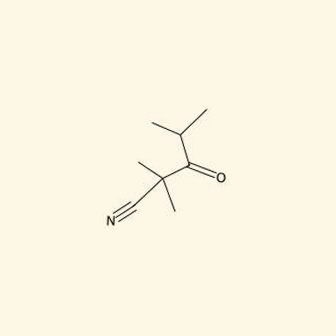 CC(C)C(=O)C(C)(C)C#N